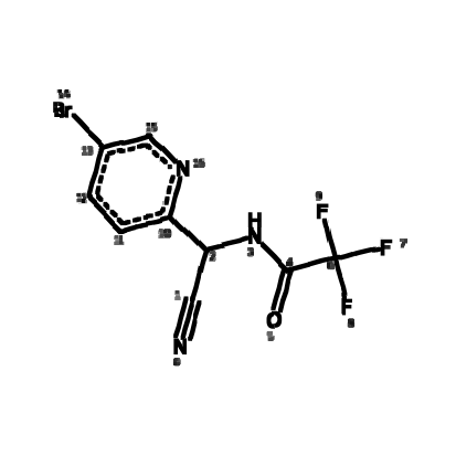 N#CC(NC(=O)C(F)(F)F)c1ccc(Br)cn1